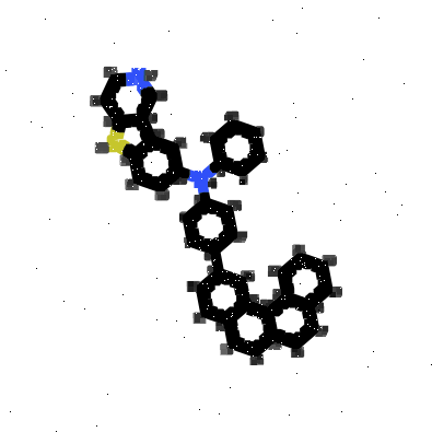 c1ccc(N(c2ccc(-c3ccc4ccc5ccc6ccccc6c5c4c3)cc2)c2ccc3sc4ccncc4c3c2)cc1